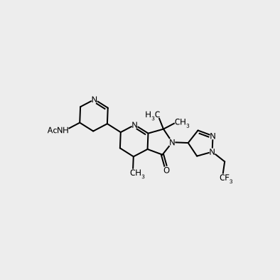 CC(=O)NC1CN=CC(C2CC(C)C3C(=O)N(C4C=NN(CC(F)(F)F)C4)C(C)(C)C3=N2)C1